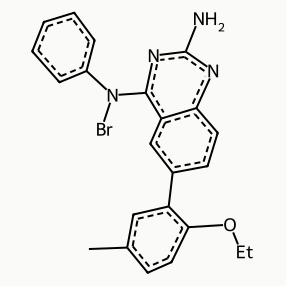 CCOc1ccc(C)cc1-c1ccc2nc(N)nc(N(Br)c3ccccc3)c2c1